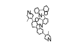 Cc1cnccc1-c1ccc2c3ccc(-c4ccncc4C)cc3n(-c3cccc4c3C(=O)N(c3ccccc3-c3ccccc3)C4=O)c2c1